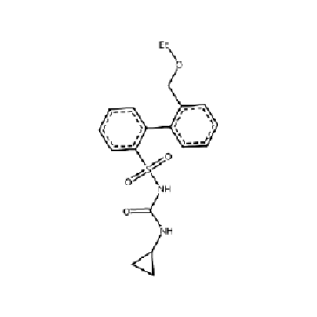 CCOCc1ccccc1-c1ccccc1S(=O)(=O)NC(=O)NC1CC1